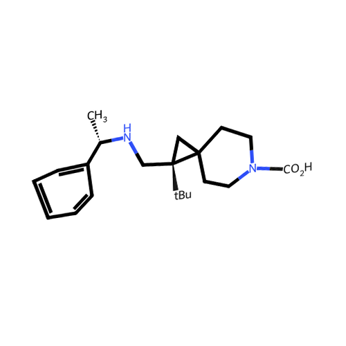 C[C@H](NC[C@]1(C(C)(C)C)CC12CCN(C(=O)O)CC2)c1ccccc1